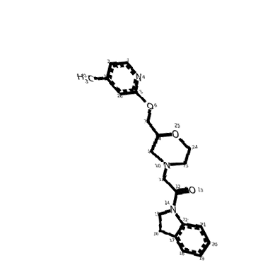 Cc1ccnc(OCC2CN(CC(=O)N3CCc4ccccc43)CCO2)c1